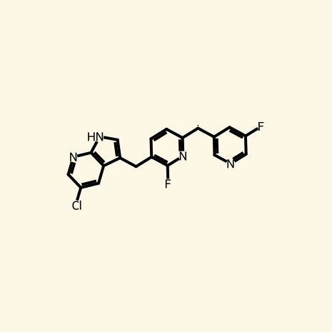 Fc1cncc([CH]c2ccc(Cc3c[nH]c4ncc(Cl)cc34)c(F)n2)c1